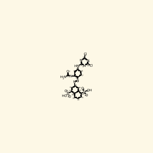 NC(=O)Nc1cc(Nc2nc(Cl)nc(Cl)n2)ccc1N=Nc1cc(S(=O)(=O)O)c2cccc(S(=O)(=O)O)c2c1